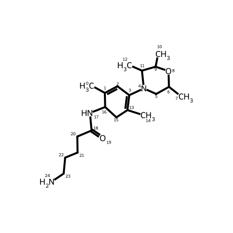 CC1=CC(N2CC(C)OC(C)C2C)=C(C)CC1NC(=O)CCCCN